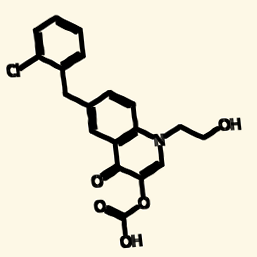 O=C(O)Oc1cn(CCO)c2ccc(Cc3ccccc3Cl)cc2c1=O